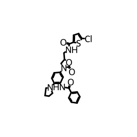 O=C(Nc1cc(N2CC(CNC(=O)c3ccc(Cl)s3)OC2=O)ccc1N1CCCC1)c1ccccc1